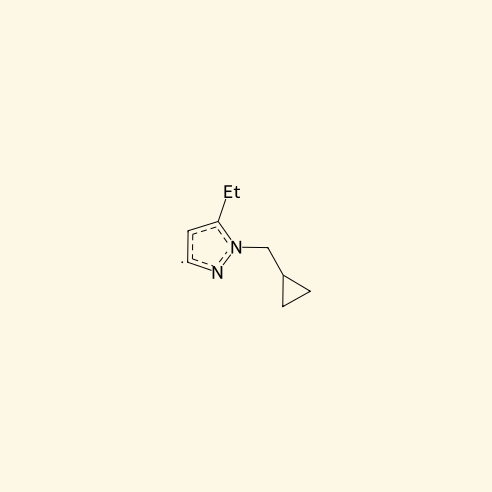 CCc1c[c]nn1CC1CC1